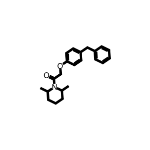 CC1CCCC(C)N1C(=O)COc1ccc(Cc2ccccc2)cc1